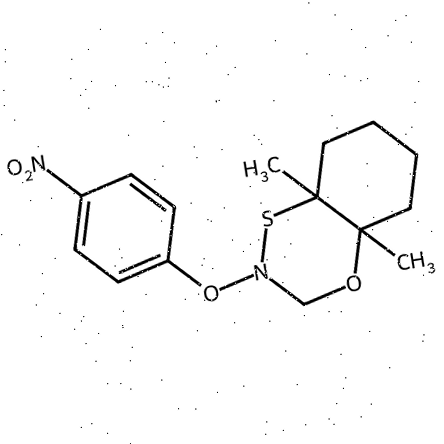 CC12CCCCC1(C)SN(Oc1ccc([N+](=O)[O-])cc1)CO2